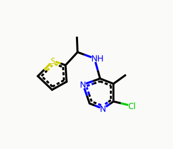 Cc1c(Cl)ncnc1NC(C)c1cccs1